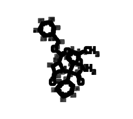 Cc1ccc(C(C(N)=O)(c2ccccc2)N2C(=O)CC2C(=O)OCc2ccccc2)o1